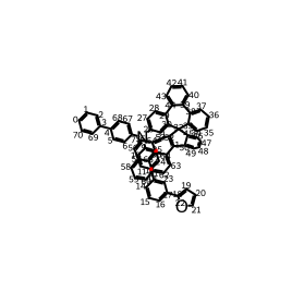 c1ccc(-c2ccc(N(c3ccc(-c4cccc(-c5ccco5)c4)cc3)c3ccc4c(c3)C3(c5ccccc5-c5ccccc5-4)c4ccccc4-c4c3cc3ccc5cccc6ccc4c3c56)cc2)cc1